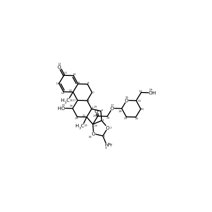 CCCC1OC2CC3C4CCC5=CC(=O)C=CC5(C)C4C(O)CC3(C)C2(C(=O)COC2CCCC(CO)O2)O1